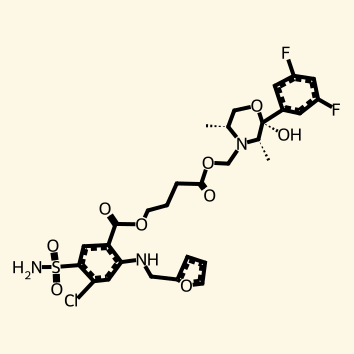 C[C@@H]1CO[C@@](O)(c2cc(F)cc(F)c2)[C@H](C)N1COC(=O)CCCOC(=O)c1cc(S(N)(=O)=O)c(Cl)cc1NCc1ccco1